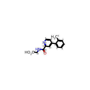 Cc1ccccc1-c1ccnc(C(=O)NCC(=O)O)c1